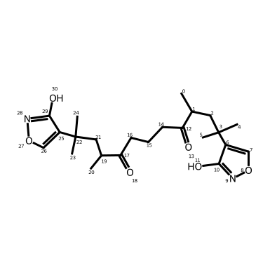 CC(CC(C)(C)c1conc1O)C(=O)CCCC(=O)C(C)CC(C)(C)c1conc1O